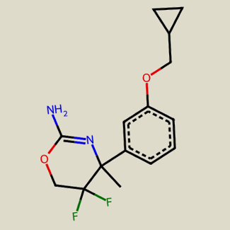 CC1(c2cccc(OCC3CC3)c2)N=C(N)OCC1(F)F